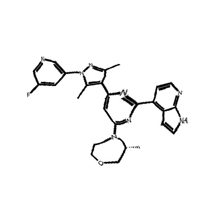 Cc1nn(-c2cncc(F)c2)c(C)c1-c1cc(N2CCOC[C@H]2C)nc(-c2ccnc3[nH]ccc23)n1